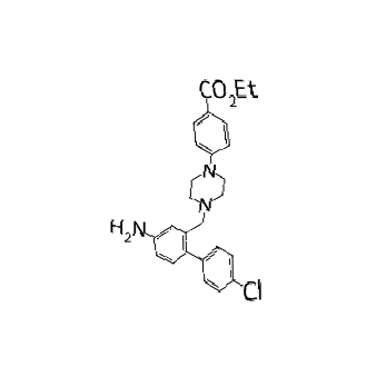 CCOC(=O)c1ccc(N2CCN(Cc3cc(N)ccc3-c3ccc(Cl)cc3)CC2)cc1